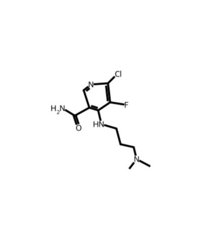 CN(C)CCCNc1c(C(N)=O)cnc(Cl)c1F